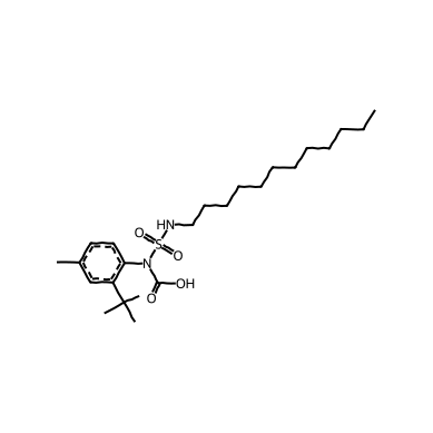 CCCCCCCCCCCCNS(=O)(=O)N(C(=O)O)c1ccc(C)cc1C(C)(C)C